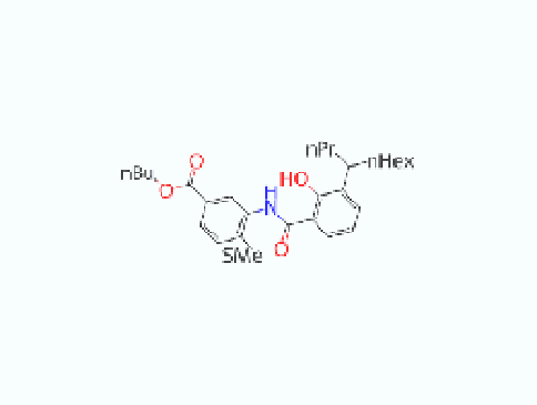 CCCCCCC(CCC)c1cccc(C(=O)Nc2cc(C(=O)OCCCC)ccc2SC)c1O